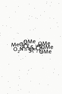 COc1cc([C@@H]2CS[C@@H](c3cc(OC)c(OC)c([N+](=O)[O-])c3)S2)cc(OC)c1OC